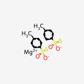 Cc1ccc(S(=O)([O-])=S)cc1.Cc1ccc(S(=O)([O-])=S)cc1.[Mg+2]